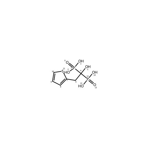 O=P(O)(O)C(O)(Cc1cccs1)P(=O)(O)O